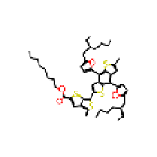 CCCCCCCCOC(=O)c1cc2c(C)sc(-c3cc4c(-c5ccc(CC(CC)CCCC)o5)c5sc(C)cc5c(-c5ccc(CC(CC)CCCC)o5)c4s3)c2s1